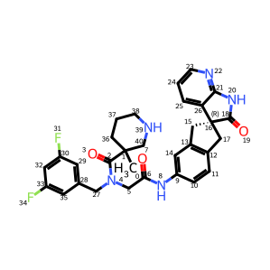 CC1(C(=O)N(CC(=O)Nc2ccc3c(c2)C[C@@]2(C3)C(=O)Nc3ncccc32)Cc2cc(F)cc(F)c2)CCCNC1